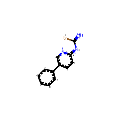 N=C(Br)/N=c1/ccc(-c2ccccc2)c[nH]1